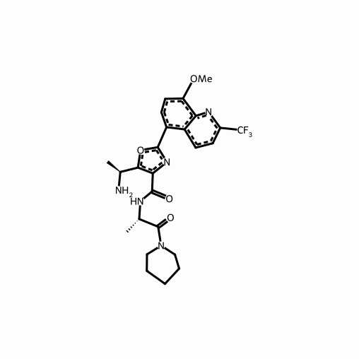 COc1ccc(-c2nc(C(=O)N[C@@H](C)C(=O)N3CCCCC3)c([C@H](C)N)o2)c2ccc(C(F)(F)F)nc12